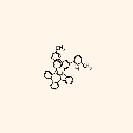 Cc1cccc(-c2cc(C3=CC=CC(C)N3)cc(-n3c4c(c5ccccc53)-c3ccccc3-c3ccccc3N4C3C=CC=CC3)c2)n1